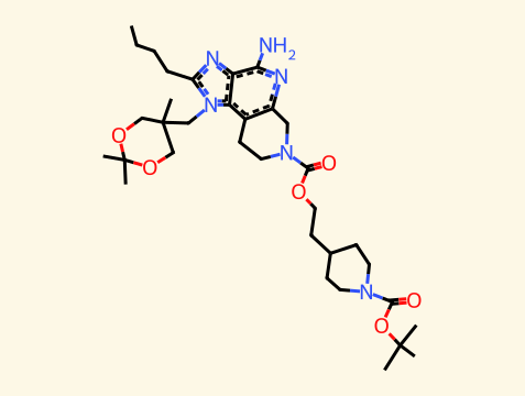 CCCCc1nc2c(N)nc3c(c2n1CC1(C)COC(C)(C)OC1)CCN(C(=O)OCCC1CCN(C(=O)OC(C)(C)C)CC1)C3